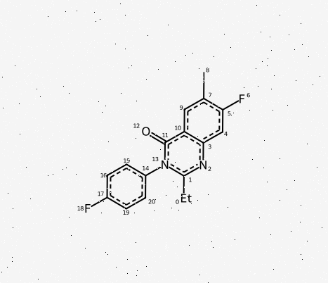 CCc1nc2cc(F)c(I)cc2c(=O)n1-c1ccc(F)cc1